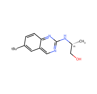 C[C@H](CO)Nc1ncc2cc(C(C)(C)C)ccc2n1